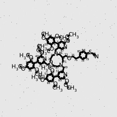 COOc1cc(-c2c(OC)cc(OC)cc2OC)c(CN2CCN(Cc3cc(-c4c(OC)cc(OC)cc4OC)cc(OOC)n3)CCN(Cc3cc(-c4c(OC)cc(OC)cc4OC)cc(OOC)n3)CC(COCCc3ccc(SC#N)cc3)C2)cn1